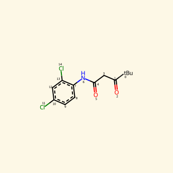 CC(C)(C)C(=O)CC(=O)Nc1ccc(Cl)cc1Cl